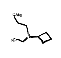 COCCN(CC#N)C1CCC1